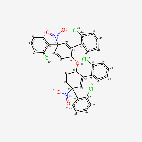 O=[N+]([O-])C1(c2ccccc2Cl)C=CC(OC2C=CC(c3ccccc3Cl)([N+](=O)[O-])C=C2c2ccccc2Cl)C(c2ccccc2Cl)=C1